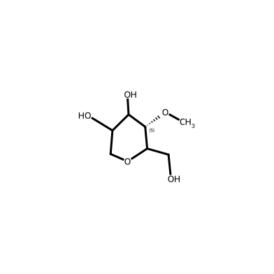 CO[C@@H]1C(CO)OCC(O)C1O